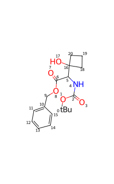 CC(C)(C)OC(=O)NC(C(=O)OCc1ccccc1)C1(O)CCC1